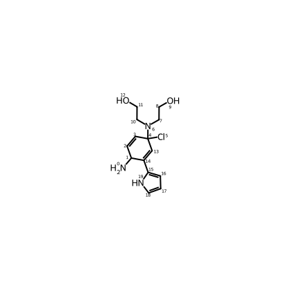 NC1C=CC(Cl)(N(CCO)CCO)C=C1c1ccc[nH]1